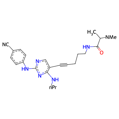 CCCNc1nc(Nc2ccc(C#N)cc2)ncc1C#CCCCNC(=O)C(C)NC